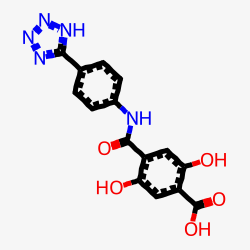 O=C(O)c1cc(O)c(C(=O)Nc2ccc(-c3nnn[nH]3)cc2)cc1O